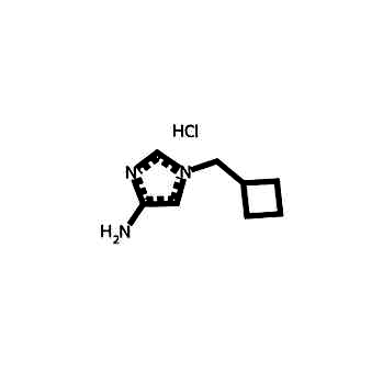 Cl.Nc1cn(CC2CCC2)cn1